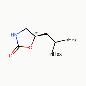 CCCCCCC(CCCCCC)C[C@@H]1CNC(=O)O1